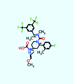 COC=CC[C@]1(NC(=O)O)CCN(C(=O)N(C)[C@H](C)c2cc(C(F)(F)F)cc(C(F)(F)F)c2)[C@@H](c2ccc(F)cc2C)C1